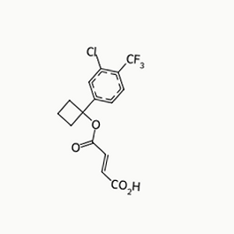 O=C(O)/C=C/C(=O)OC1(c2ccc(C(F)(F)F)c(Cl)c2)CCC1